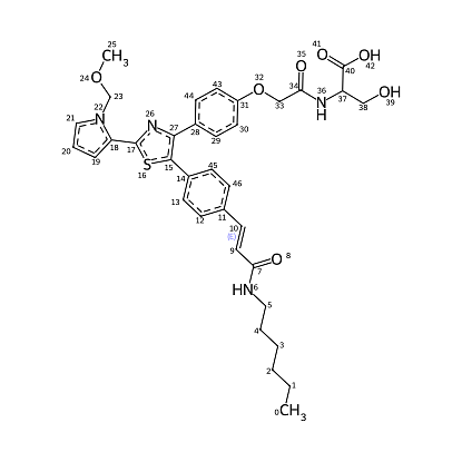 CCCCCCNC(=O)/C=C/c1ccc(-c2sc(-c3cccn3COC)nc2-c2ccc(OCC(=O)NC(CO)C(=O)O)cc2)cc1